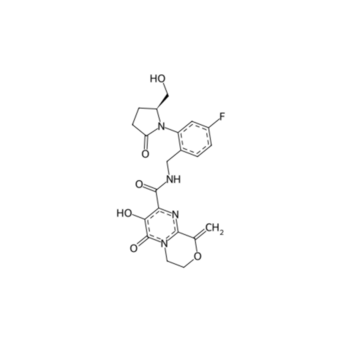 C=C1OCCn2c1nc(C(=O)NCc1ccc(F)cc1N1C(=O)CC[C@H]1CO)c(O)c2=O